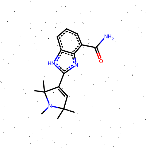 CN1C(C)(C)C=C(c2nc3c(C(N)=O)cccc3[nH]2)C1(C)C